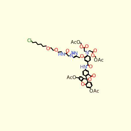 CC(=O)OCOC(=O)CN(CC(=O)OCOC(C)=O)c1ccc(C(=O)Nc2ccc3c(c2)C(=O)OC32c3ccc(OC(C)=O)cc3Oc3cc(OC(C)=O)ccc32)cc1OCc1cn(CC(=O)NCCOCCOCCCCCCCl)nn1